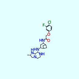 CC1CN2CCNC(NC3CC(NC(=O)COc4ccc(Cl)c(F)c4)C4CC3C4)C2N1